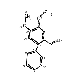 COc1cc(C=O)c(-c2cccnc2)cc1OC